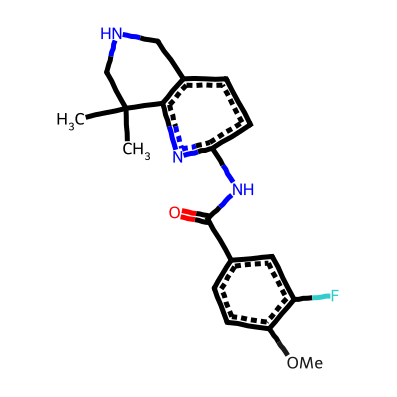 COc1ccc(C(=O)Nc2ccc3c(n2)C(C)(C)CNC3)cc1F